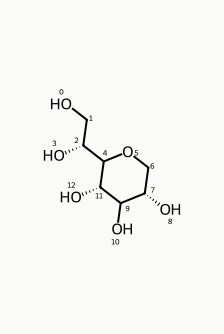 OC[C@@H](O)C1OC[C@H](O)C(O)[C@@H]1O